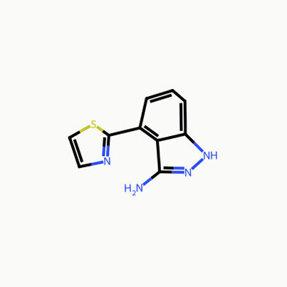 Nc1n[nH]c2cccc(-c3nccs3)c12